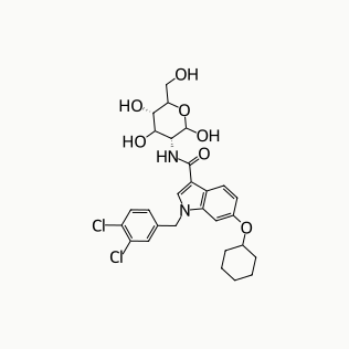 O=C(N[C@H]1C(O)OC(CO)[C@@H](O)C1O)c1cn(Cc2ccc(Cl)c(Cl)c2)c2cc(OC3CCCCC3)ccc12